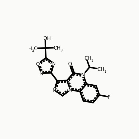 CC(C)n1c(=O)c2c(-c3noc(C(C)(C)O)n3)ncn2c2ccc(F)cc21